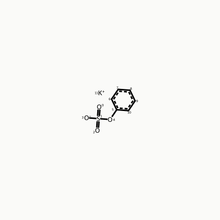 O=S(=O)([O-])Oc1ccccc1.[K+]